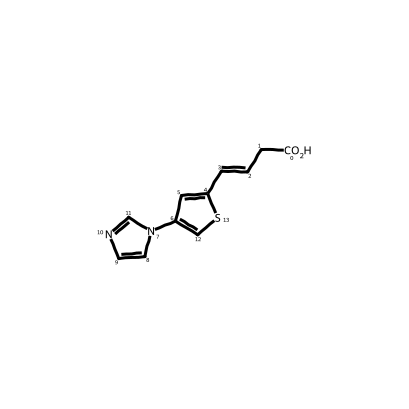 O=C(O)C/C=C/c1cc(-n2ccnc2)cs1